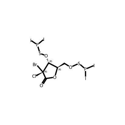 O=C1O[C@H](COSP(I)I)[C@@H](OSP(I)I)[C@@]1(Cl)Br